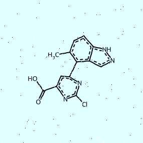 Cc1ccc2[nH]ncc2c1-c1cc(C(=O)O)nc(Cl)n1